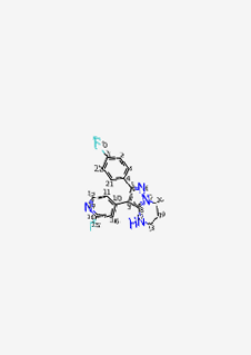 Fc1ccc(-c2nn3c(c2-c2ccnc(F)c2)NCCC3)cc1